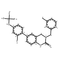 Cc1ccnc(CN2Cc3cc(-c4ccc(OC(F)(F)F)cc4F)ccc3OC2=O)n1